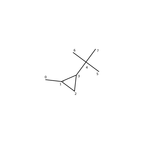 C[C]1CC1C(C)(C)C